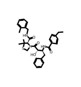 CCc1ccc(C(=O)N[C@@H](Cc2ccccc2)[C@H](O)C(=O)N2CSC(C)(C)[C@H]2C(=O)NCc2ccccc2C)cc1